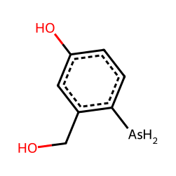 OCc1cc(O)ccc1[AsH2]